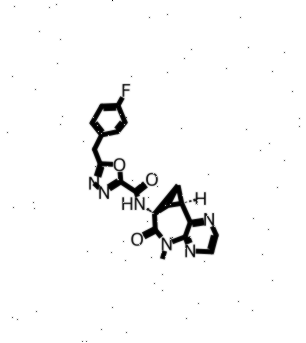 CN1c2nccnc2[C@H]2C3C2[C@]3(NC(=O)c2nnc(Cc3ccc(F)cc3)o2)C1=O